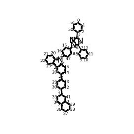 c1ccc(-c2nc(-c3ccccc3)n(-c3ccc(-n4c5ccccc5c5cc(-c6ccc(-c7ccc8ccccc8c7)cc6)ccc54)cc3)n2)cc1